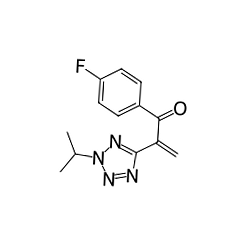 C=C(C(=O)c1ccc(F)cc1)c1nnn(C(C)C)n1